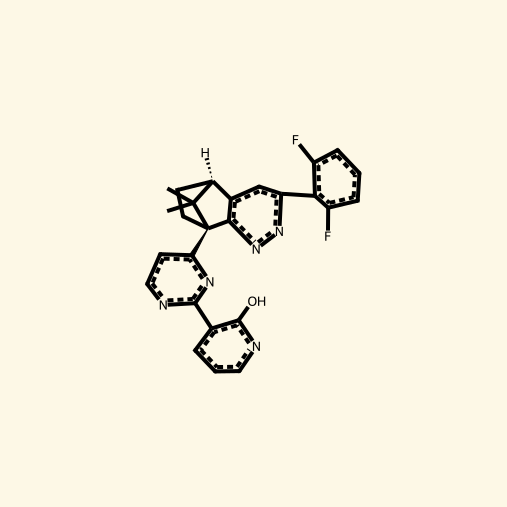 CC1(C)[C@H]2CC[C@@]1(c1ccnc(-c3cccnc3O)n1)c1nnc(-c3c(F)cccc3F)cc12